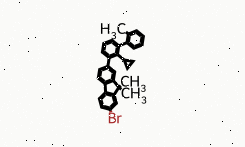 Cc1ccccc1-c1cccc(-c2ccc3c(c2)C(C)(C)c2cc(Br)ccc2-3)c1C1CC1